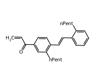 C=CC(=O)c1ccc(/C=C/c2ccccc2CCCCC)c(CCCCC)c1